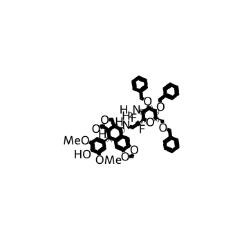 COc1cc([C@@H]2c3cc4c(cc3[C@@H](NCC(F)(F)[C@@H]3O[C@H](COCc5ccccc5)[C@@H](OCc5ccccc5)[C@H](OCc5ccccc5)[C@H]3N)[C@H]3COC(=O)[C@H]23)OCO4)cc(OC)c1O